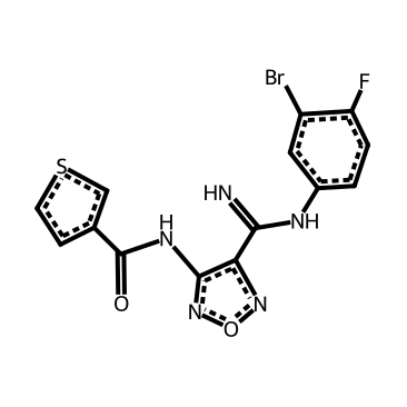 N=C(Nc1ccc(F)c(Br)c1)c1nonc1NC(=O)c1ccsc1